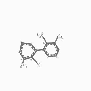 Cc1cccc(-c2cccc(C)c2S)c1C